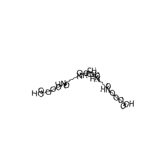 CC(C)(COCCC(=O)NCCCCCCCC(=O)NCCOCCOCCOCCC(=O)O)COCCC(=O)NCCCCCCC(=O)NCCOCCOCCOCCC(=O)O